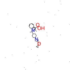 Cc1c(C(=O)O)c2c(n1[C@H](C)C1CCC(N3CC(OC4CC4)C3)CC1)CC=CC=C2